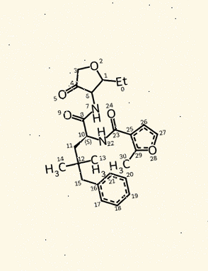 CCC1OCC(=O)C1NC(=O)[C@H](CC(C)(C)Cc1ccccc1)NC(=O)c1ccoc1C